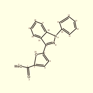 COC(=O)c1ccc(-c2nn(-c3ccccc3)c3ccccc23)o1